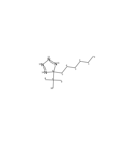 CCCCCCC1(C(C)(C)C)N=NN=N1